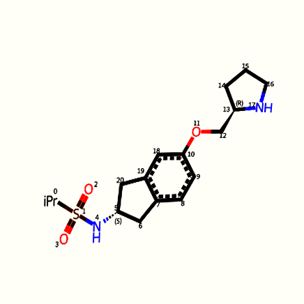 CC(C)S(=O)(=O)N[C@H]1Cc2ccc(OC[C@H]3CCCN3)cc2C1